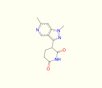 Cc1cc2c(cn1)c(C1CCC(=O)NC1=O)nn2C